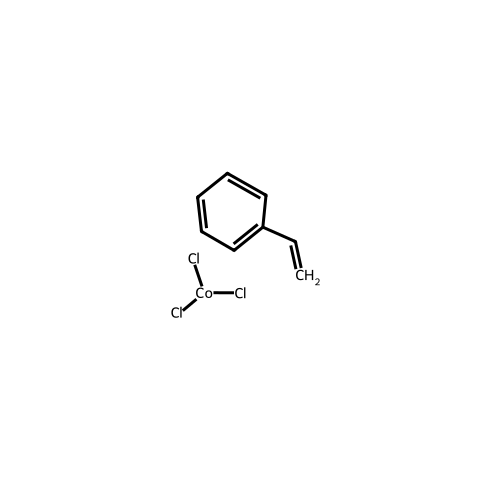 C=Cc1ccccc1.[Cl][Co]([Cl])[Cl]